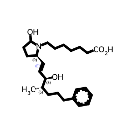 C[C@@H](CCCc1ccccc1)[C@H](O)/C=C/[C@H]1CCC(O)N1CCCCCCC(=O)O